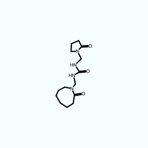 O=C(NCN1CCCCCCC1=O)NCN1CCCC1=O